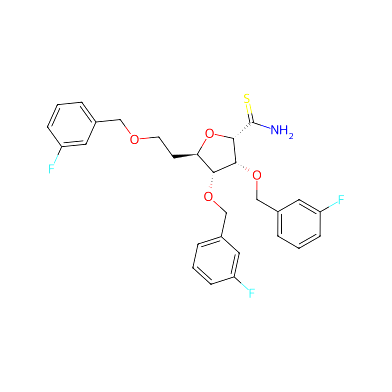 NC(=S)[C@H]1O[C@H](CCOCc2cccc(F)c2)[C@@H](OCc2cccc(F)c2)[C@H]1OCc1cccc(F)c1